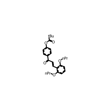 CCCOc1cccc(OCCC)c1C=CC(=O)c1ccc(OC(=O)C(C)(C)C)cc1